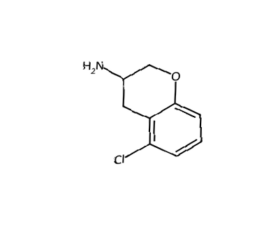 NC1COc2cccc(Cl)c2C1